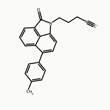 [C-]#[N+]CCCN1C(=O)c2cccc3c(-c4ccc(C)cc4)ccc1c23